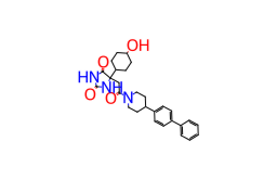 O=C1NC(=O)C(CC(=O)N2CCC(c3ccc(-c4ccccc4)cc3)CC2)(C2CCC(O)CC2)N1